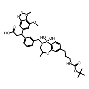 COc1cc(C(CC(=O)O)c2cccc(CN3CC(C)Oc4cc(CCCNC(=O)OC(C)(C)C)ccc4S3(O)O)c2)cc2nnn(C)c12